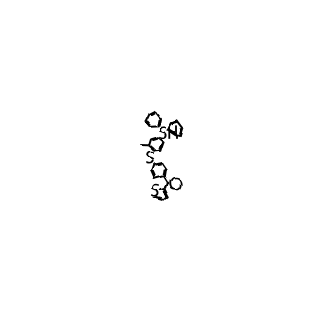 Cc1cc([SH](c2ccccc2)c2ccccc2)ccc1Sc1ccc(C(=O)c2cccs2)cc1